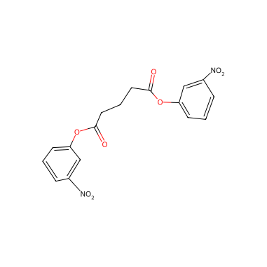 O=C(CCCC(=O)Oc1cccc([N+](=O)[O-])c1)Oc1cccc([N+](=O)[O-])c1